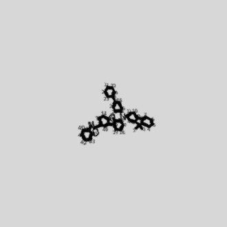 CC1(C)c2ccccc2-c2ccc(N(c3ccc(-c4ccccc4)cc3)c3cccc4c3oc3ccc(-c5nc6ccccc6o5)cc34)cc21